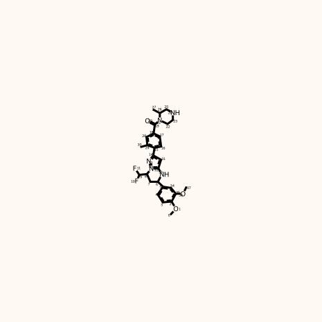 COc1ccc(C2CC(C(F)F)n3nc(-c4ccc(C(=O)N5CCNCC5C)cc4C)cc3N2)cc1OC